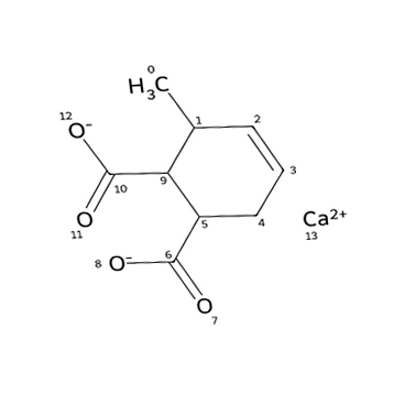 CC1C=CCC(C(=O)[O-])C1C(=O)[O-].[Ca+2]